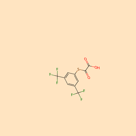 O=C(O)C(=O)Sc1cc(C(F)(F)F)cc(C(F)(F)F)c1